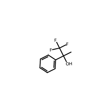 CC(O)(c1[c]cccc1)C(F)(F)F